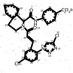 O=C(O)c1ccc(NC(=O)C2c3ccccc3CCN2C(=O)C=Cc2cc(Cl)ccc2-n2cc(Cl)nn2)cc1